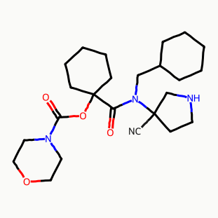 N#CC1(N(CC2CCCCC2)C(=O)C2(OC(=O)N3CCOCC3)CCCCC2)CCNC1